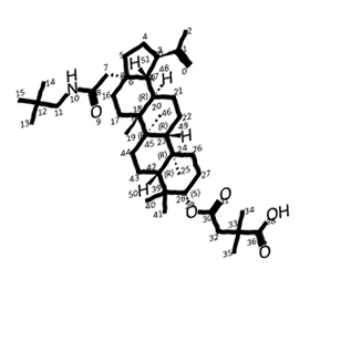 C=C(C)[C@@H]1CC[C@]2(CC(=O)NCC(C)(C)C)CC[C@]3(C)[C@H](CC[C@@H]4[C@@]5(C)CC[C@H](OC(=O)CC(C)(C)C(=O)O)C(C)(C)[C@@H]5CC[C@]43C)[C@@H]12